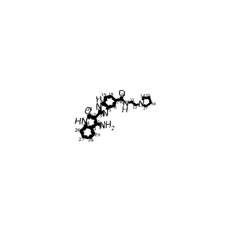 Nc1c(-c2nc3cc(C(=O)NCCN4CCCC4)ccc3[nH]2)c(=O)[nH]c2ccccc12